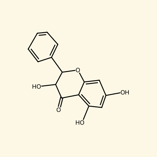 O=C1c2c(O)cc(O)cc2OC(c2ccccc2)C1O